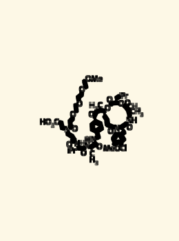 COCCOCCOCCOCCC(=O)N(CCC(=O)O)CCC(=O)N[C@H](C(=O)N[C@@H](C)C(=O)NCc1ccc([C@H]2O[C@@H]2[C@@H](C)[C@@H]2C/C=C/C(=O)N[C@H](Cc3ccc(OC)c(Cl)c3)C(=O)NCC(C)(C)C(=O)O[C@@H](CC(C)C)C(=O)O2)cc1)C(C)C